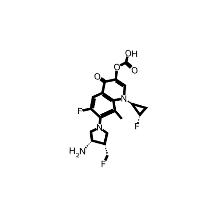 Cc1c(N2C[C@H](CF)[C@H](N)C2)c(F)cc2c(=O)c(OC(=O)O)cn([C@@H]3C[C@@H]3F)c12